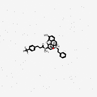 CN(C(=O)CCc1ccc(C(F)(F)F)cc1)C1CC[C@@]2(O)[C@H]3Cc4ccc(O)c5c4[C@@]2(C(O)CN3CCc2ccccc2)C1O5